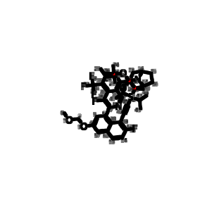 COCOc1cc(-c2ncc3c(N4CC5CCC(C4)N5C(=O)OC(C)(C)C)nc(C)c(C(F)(F)F)c3c2F)c2c(C#C[Si](C(C)C)(C(C)C)C(C)C)c(F)ccc2c1